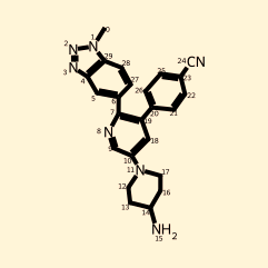 Cn1nnc2cc(-c3ncc(N4CCC(N)CC4)cc3-c3ccc(C#N)cc3)ccc21